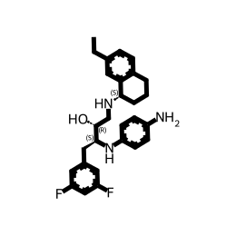 CCc1ccc2c(c1)[C@@H](NC[C@@H](O)[C@H](Cc1cc(F)cc(F)c1)Nc1ccc(N)cc1)CCC2